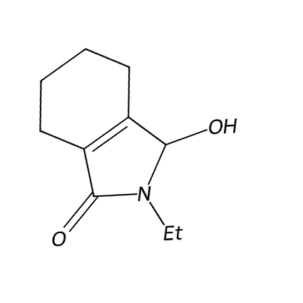 CCN1C(=O)C2=C(CCCC2)C1O